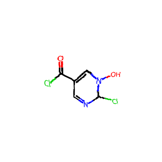 O=C(Cl)C1=CN(O)C(Cl)N=C1